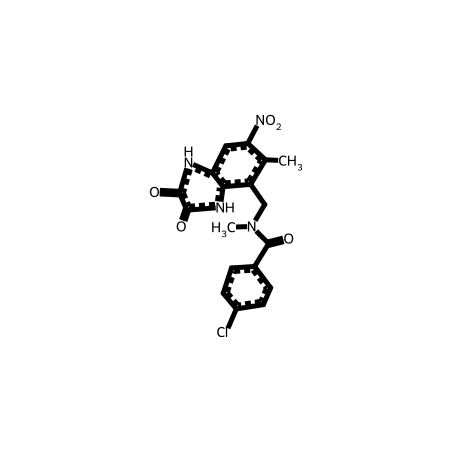 Cc1c([N+](=O)[O-])cc2[nH]c(=O)c(=O)[nH]c2c1CN(C)C(=O)c1ccc(Cl)cc1